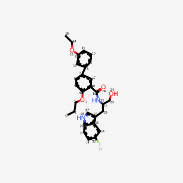 CCCOc1ccc(-c2cccc(OCC)c2)cc1C(=O)NC(CO)Cc1c[nH]c2ccc(F)cc12